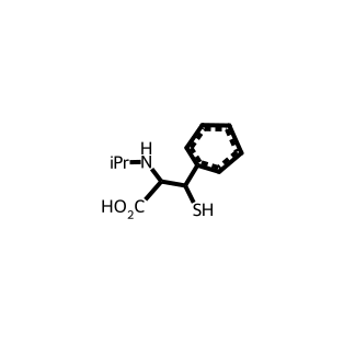 CC(C)NC(C(=O)O)C(S)c1ccccc1